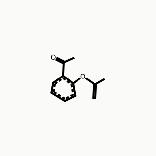 C=C(C)Oc1ccccc1C(C)=O